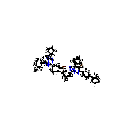 c1ccc(-c2ccc(-c3nc(-c4cccc5c4sc4cc(-c6nc(-c7ccccc7)nc(-c7ccccc7)n6)ccc45)nc4c3sc3ccccc34)cc2)cc1